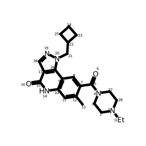 CCN1CCN(C(=O)c2cc3c(cc2C)[nH]c(=O)c2cnn(CC4CCC4)c23)CC1